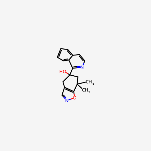 CC1(C)CC(O)(c2nccc3ccccc23)Cc2cnoc21